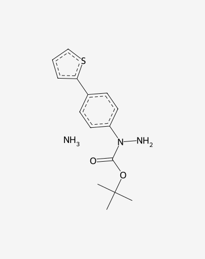 CC(C)(C)OC(=O)N(N)c1ccc(-c2cccs2)cc1.N